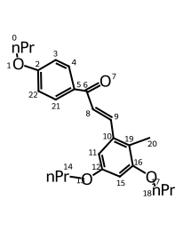 CCCOc1ccc(C(=O)C=Cc2cc(OCCC)cc(OCCC)c2C)cc1